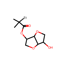 CCC(C)(C)C(=O)OC1COC2C(O)COC12